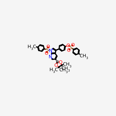 Cc1ccc(S(=O)(=O)Oc2ccc(-c3cn(S(=O)(=O)c4ccc(C)cc4)c4ncc(B5OC(C)(C)C(C)(C)O5)cc34)cc2)cc1